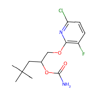 CC(C)(C)CC(COc1nc(Cl)ccc1F)OC(N)=O